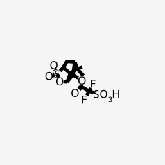 CC1(C)C2CC3C1C(OS3(=O)=O)C2OC(=O)C(F)(F)S(=O)(=O)O